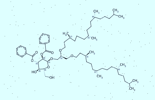 CC(C)CCC[C@@H](C)CCC[C@H](C)CCC[C@H](C)CCOC[C@@H](CO[C@H]1O[C@H](CO)[C@@H](O)[C@H](OC(=O)c2ccccc2)[C@H]1OC(=O)c1ccccc1)OCC[C@@H](C)CCC[C@@H](C)CCC[C@H](C)CCCC(C)C